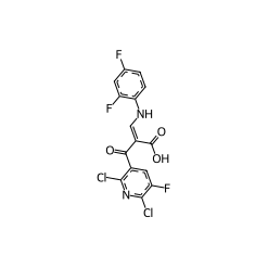 O=C(O)C(=CNc1ccc(F)cc1F)C(=O)c1cc(F)c(Cl)nc1Cl